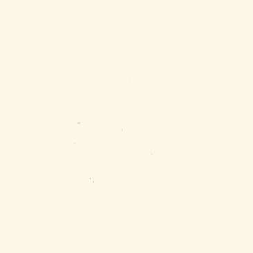 Cc1nc2cc3c(-c4ccccc4)cc(=O)oc3cc2o1